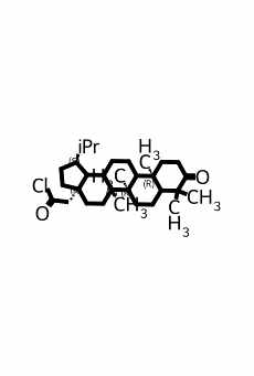 CC(C)[C@@H]1CC[C@]2(CC(=O)Cl)CC[C@]3(C)C(CCC4[C@@]5(C)CCC(=O)C(C)(C)C5CC[C@]43C)C12